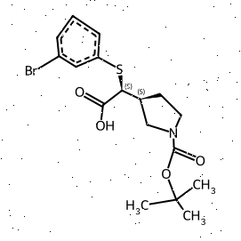 CC(C)(C)OC(=O)N1CC[C@H]([C@H](Sc2cccc(Br)c2)C(=O)O)C1